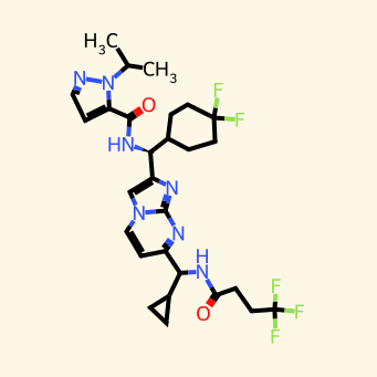 CC(C)n1nccc1C(=O)N[C@H](c1cn2ccc(C(NC(=O)CCC(F)(F)F)C3CC3)nc2n1)C1CCC(F)(F)CC1